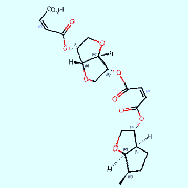 C[C@@H]1CC[C@H]2[C@@H]1OC[C@@H]2OC(=O)/C=C\C(=O)O[C@@H]1CO[C@H]2[C@@H]1OC[C@H]2OC(=O)/C=C\C(=O)O